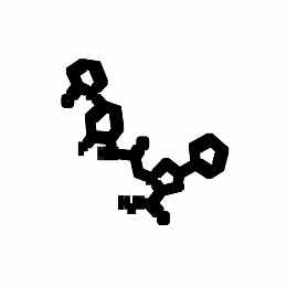 NC(=O)C1[CH]C(c2ccccc2)CN1CC(=O)Nc1ccc(-n2ccccc2=O)cc1F